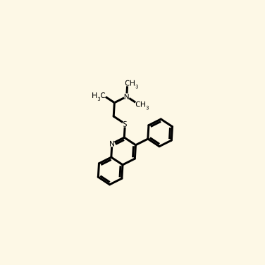 CC(CSc1nc2ccccc2cc1-c1ccccc1)N(C)C